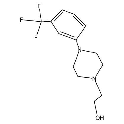 OCCN1CCN(c2cccc(C(F)(F)F)c2)CC1